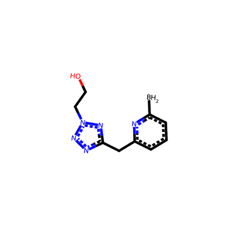 Bc1cccc(Cc2nnn(CCO)n2)n1